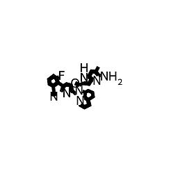 Cc1cc2[nH]c(C(=O)N(Cc3ccc(-c4c(F)cccc4C#N)cn3)C3CCCc4cccnc43)cc2nc1N